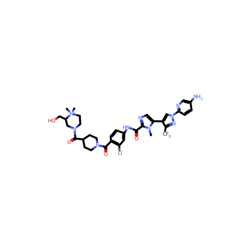 Cn1c(-c2cn(-c3ccc(N)cn3)nc2C(F)(F)F)cnc1C(=O)Nc1ccc(C(=O)N2CCC(C(=O)N3CC[N+](C)(C)C(CO)C3)CC2)c(Cl)c1